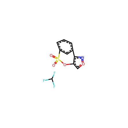 FC(F)F.O=S1(=O)Oc2conc2-c2cccc1c2